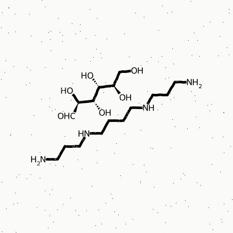 NCCCNCCCCNCCCN.O=C[C@@H](O)[C@@H](O)[C@H](O)[C@H](O)CO